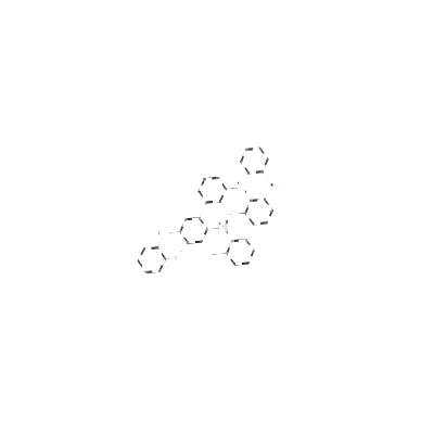 Cc1cc2c3c(c1)N1c4ccccc4C(C)(C)c4cccc(c41)B3N(c1ccccc1C)c1cc3c(cc1-2)Oc1ccccc1O3